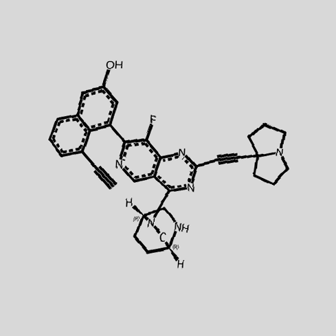 C#Cc1cccc2cc(O)cc(-c3ncc4c(N5C[C@H]6CC[C@@H]5CN6)nc(C#CC56CCCN5CCC6)nc4c3F)c12